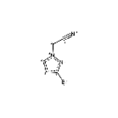 N#CCn1ccc(Br)n1